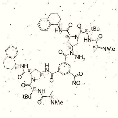 CN[C@@H](C)C(=O)N[C@H](C(=O)N1C[C@@H](NC(=O)c2cc(C(=O)N=O)cc(C(=O)N(N)[C@H]3C[C@@H](C(=O)N[C@@H]4CCCc5ccccc54)N(C(=O)[C@@H](NC(=O)[C@H](C)NC)C(C)(C)C)C3)c2)C[C@H]1C(=O)N[C@@H]1CCCc2ccccc21)C(C)(C)C